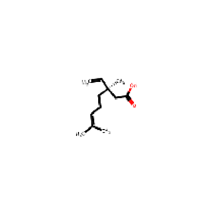 C=C[C@](C)(CCC=C(C)C)CC(=O)O